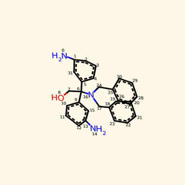 Nc1cccc(C(CO)(c2cccc(N)c2)N(Cc2ccccc2)Cc2ccccc2)c1